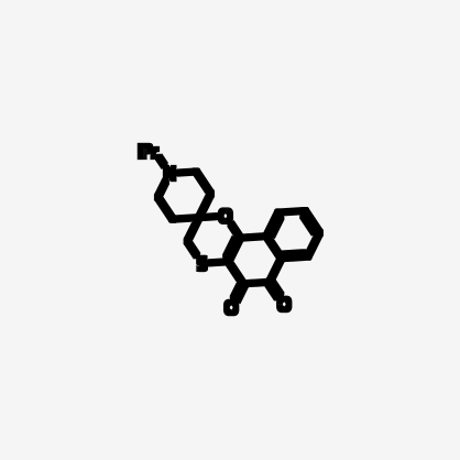 CC(C)N1CCC2(CC1)CSC1=C(O2)c2ccccc2C(=O)C1=O